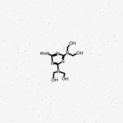 CNc1nc(N(CO)CO)nc(N(CO)CO)n1